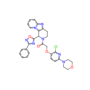 O=C(COc1ccc(N2CCOCC2)nc1Cl)N1CCc2nc3ccccn3c2C1c1nc(-c2ccccc2)no1